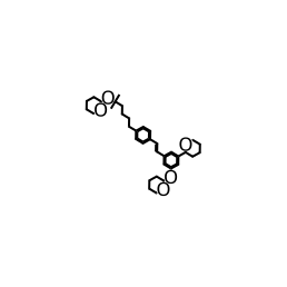 CC(C)(CCCCc1ccc(C=Cc2cc(OC3CCCCO3)cc(C3CCCCO3)c2)cc1)OC1CCCCO1